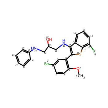 COc1ccc(Br)cc1-c1sc2c(F)cccc2c1NCC(O)CNc1ccccc1